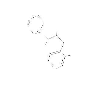 Cc1ccccc1CC(C(=O)O)N(C)c1ccccc1